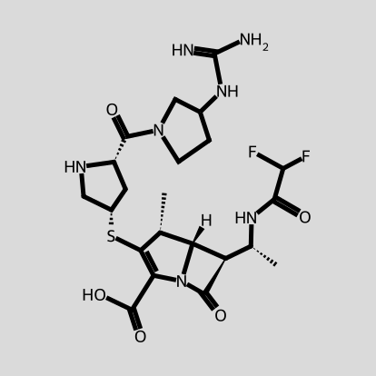 C[C@@H](NC(=O)C(F)F)[C@H]1C(=O)N2C(C(=O)O)=C(S[C@@H]3CN[C@H](C(=O)N4CCC(NC(=N)N)C4)C3)[C@H](C)[C@H]12